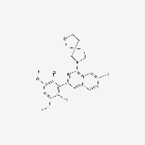 COc1cc(OC)c(Cl)c(-c2cc3cnc(Cl)cc3c(N3CCC4(CCOC4)C3)n2)c1Cl